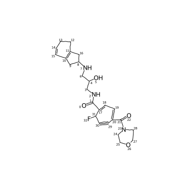 O=C(NCC(O)CNC1CC2=C(CCC=C2)C1)C1=CC=C(C(=O)N2CCOCC2)C#CC1F